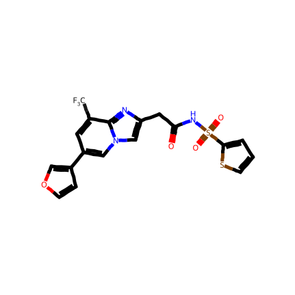 O=C(Cc1cn2cc(-c3ccoc3)cc(C(F)(F)F)c2n1)NS(=O)(=O)c1cccs1